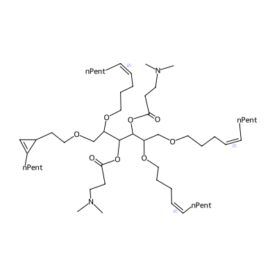 CCCCC/C=C\CCCOCC(OCCC/C=C\CCCCC)C(OC(=O)CCN(C)C)C(OC(=O)CCN(C)C)C(COCCC1C=C1CCCCC)OCCC/C=C\CCCCC